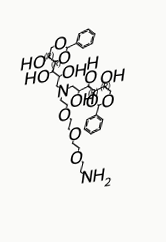 NCCOCCOCCOCCN(CC(O)C(O)[C@@H]1OC(c2ccccc2)OC[C@H]1O)CC(O)C(O)[C@@H]1OC(c2ccccc2)OC[C@H]1O